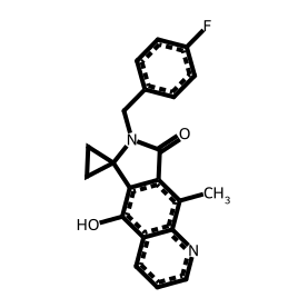 Cc1c2c(c(O)c3cccnc13)C1(CC1)N(Cc1ccc(F)cc1)C2=O